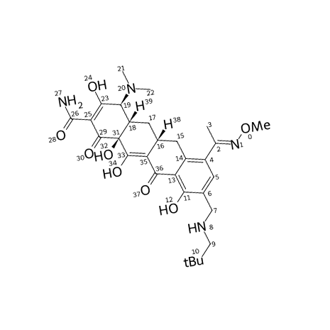 CO/N=C(\C)c1cc(CNCC(C)(C)C)c(O)c2c1C[C@H]1C[C@H]3[C@H](N(C)C)C(O)=C(C(N)=O)C(=O)[C@@]3(O)C(O)=C1C2=O